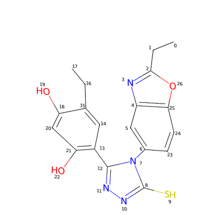 CCc1nc2cc(-n3c(S)nnc3-c3cc(CC)c(O)cc3O)ccc2o1